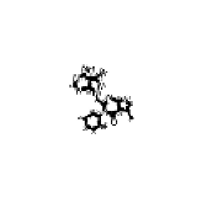 Cc1csc2nc(Cn3nc(Br)c4c(N)ncnc43)n(-c3ccccc3F)c(=O)c12